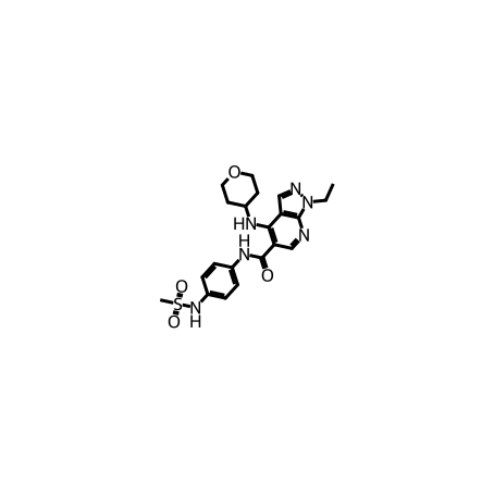 CCn1ncc2c(NC3CCOCC3)c(C(=O)Nc3ccc(NS(C)(=O)=O)cc3)cnc21